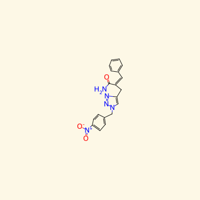 NC(=O)C(=Cc1ccccc1)Cc1cn(Cc2ccc([N+](=O)[O-])cc2)nn1